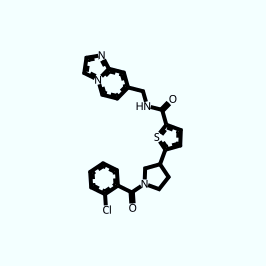 O=C(NCc1ccn2ccnc2c1)c1ccc(C2CCN(C(=O)c3ccccc3Cl)C2)s1